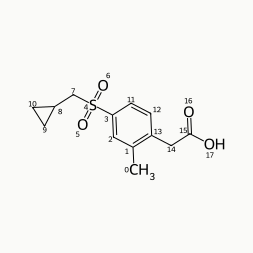 Cc1cc(S(=O)(=O)CC2CC2)ccc1CC(=O)O